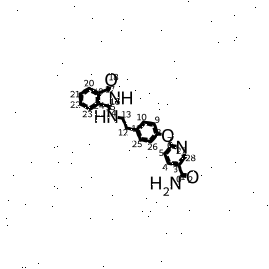 NC(=O)c1ccc(Oc2ccc(CCNC3NC(=O)c4ccccc43)cc2)nc1